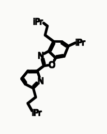 CC(C)CCc1cccc(-c2nc3c(CCC(C)C)cc(C(C)C)cc3o2)n1